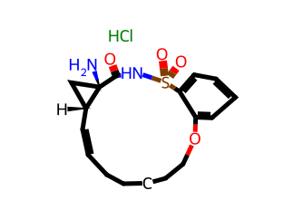 Cl.N[C@]12C[C@H]1C=CCCCCCOc1ccccc1S(=O)(=O)NC2=O